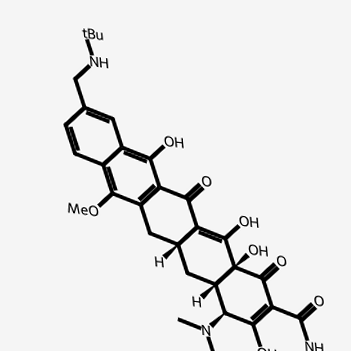 COc1c2c(c(O)c3cc(CNC(C)(C)C)ccc13)C(=O)C1=C(O)[C@]3(O)C(=O)C(C(N)=O)=C(O)[C@@H](N(C)C)[C@@H]3C[C@@H]1C2